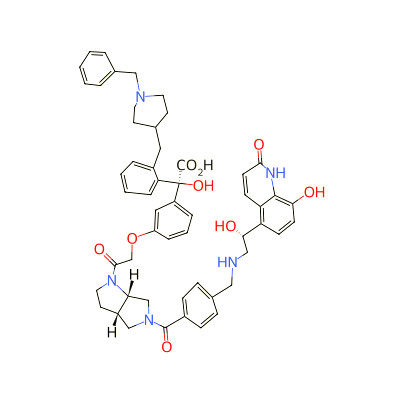 O=C(c1ccc(CNC[C@H](O)c2ccc(O)c3[nH]c(=O)ccc23)cc1)N1C[C@@H]2CCN(C(=O)COc3cccc([C@@](O)(C(=O)O)c4ccccc4CC4CCN(Cc5ccccc5)CC4)c3)[C@@H]2C1